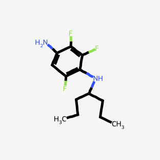 CCCC(CCC)Nc1c(F)cc(N)c(F)c1F